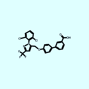 O=C(O)c1cccc(-c2ccc(OCc3cc(C(F)(F)F)nn3-c3c(Cl)cccc3Cl)cc2)c1